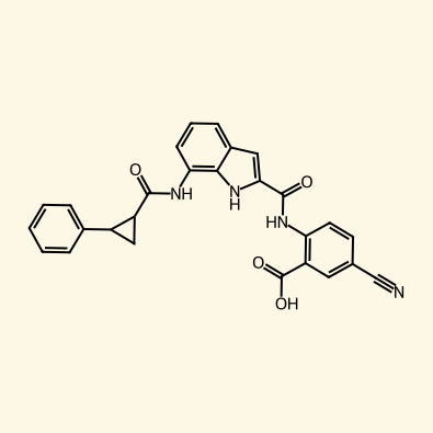 N#Cc1ccc(NC(=O)c2cc3cccc(NC(=O)C4CC4c4ccccc4)c3[nH]2)c(C(=O)O)c1